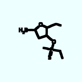 BC1CC(OP(C)(=S)CC)C(CC)O1